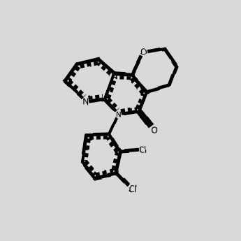 O=c1c2c(c3cccnc3n1-c1cccc(Cl)c1Cl)OCCC2